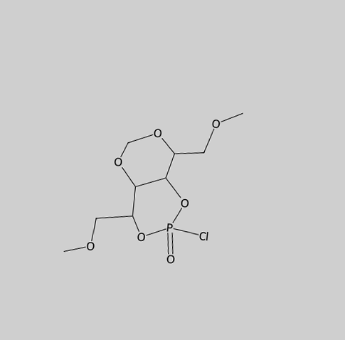 COCC1OP(=O)(Cl)OC2C(COC)OCOC12